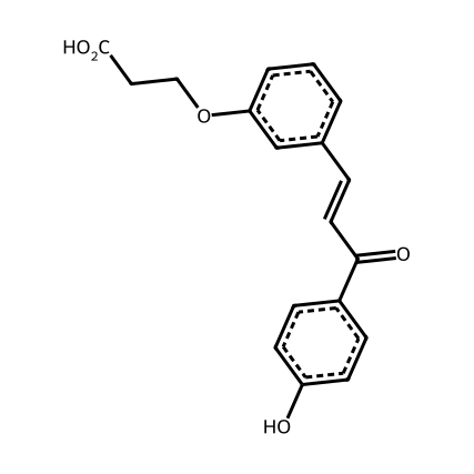 O=C(O)CCOc1cccc(/C=C/C(=O)c2ccc(O)cc2)c1